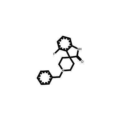 O=C1Nc2cccc(F)c2C12CCN(Cc1ccccc1)CC2